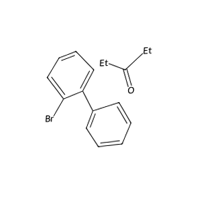 Brc1ccccc1-c1ccccc1.CCC(=O)CC